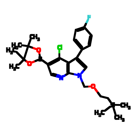 CC1(C)OB(c2cnc3c(c(-c4ccc(F)cc4)cn3COCC[Si](C)(C)C)c2Cl)OC1(C)C